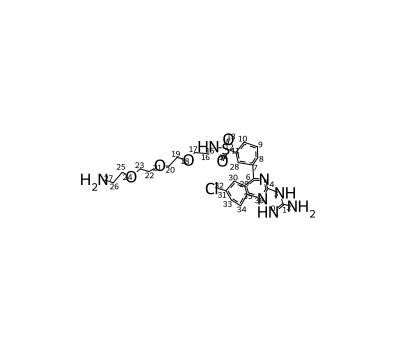 N=C(N)Nc1nc(-c2cccc(S(=O)(=O)NCCOCCOCCOCCN)c2)c2cc(Cl)ccc2n1